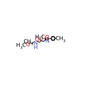 Cc1ccc(-c2nc(CC(=O)CC(=O)NCCCOC(C)C)c(C)o2)cc1